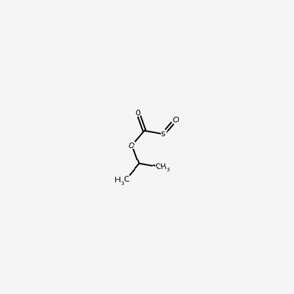 CC(C)OC(=O)[S+]=O